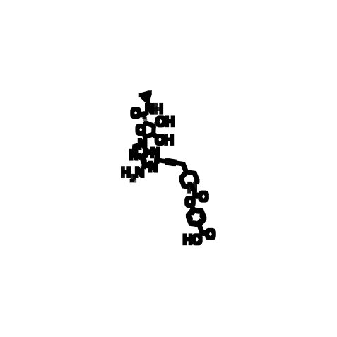 Nc1nc(C#CCC2CCN(C(=O)Oc3ccc(C(=O)O)cc3)CC2)nc2c1ncn2[C@@H]1O[C@H](C(=O)NC2CC2)[C@H](O)C1O